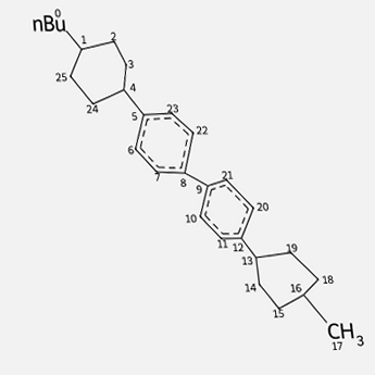 CCCCC1CCC(c2ccc(-c3ccc(C4CCC(C)CC4)cc3)cc2)CC1